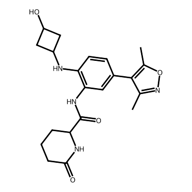 Cc1noc(C)c1-c1ccc(NC2CC(O)C2)c(NC(=O)C2CCCC(=O)N2)c1